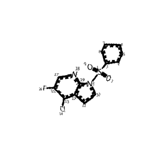 O=S(=O)(c1ccccc1)n1ccc2c(Cl)c(F)cnc21